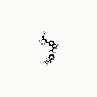 C=N/C=C(N)\C=C(/C)c1ccc2[nH]nc(C(=O)Nc3ccc(NS(C)(=O)=O)nc3)c2c1